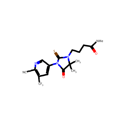 CNC(=O)CCCN1C(=S)N(c2cnc(C#N)c(C(F)(F)F)c2)C(=O)C1(C)C